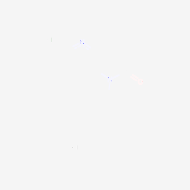 O=C1CCc2nc(Cl)ccc2N1Cc1cccc(C(F)(F)F)c1